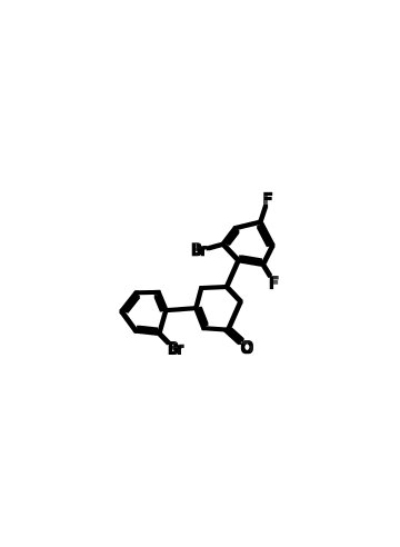 O=C1C=C(c2ccccc2Br)CC(c2c(F)cc(F)cc2Br)C1